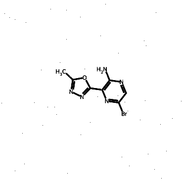 Cc1nnc(-c2nc(Br)cnc2N)o1